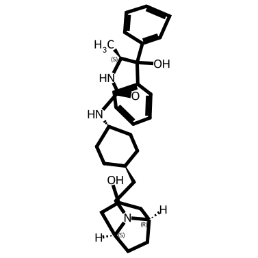 C[C@H](NC(=O)N[C@H]1CC[C@H](CCN2[C@@H]3CC[C@H]2CC(O)C3)CC1)C(O)(c1ccccc1)c1ccccc1